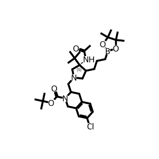 CC(=O)N[C@@]1(C(C)(C)C)CN(CC2Cc3ccc(Cl)cc3CN2C(=O)OC(C)(C)C)CC1CCCB1OC(C)(C)C(C)(C)O1